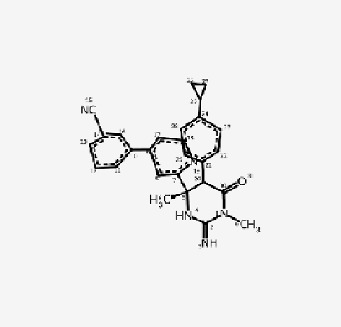 CN1C(=N)N[C@](C)(c2cc(-c3cccc(C#N)c3)ccn2)C(c2ccc(C3CC3)cc2)C1=O